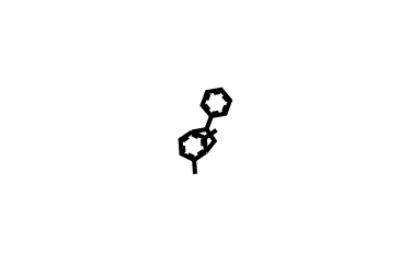 Cc1ccc2c(C)c1CC2c1ccccc1